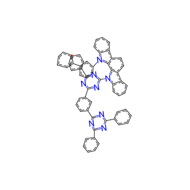 c1ccc(-c2cccc(-n3c4ccccc4c4ccc5c6ccccc6n(-c6nc(-c7ccccc7)nc(-c7cccc(-c8nc(-c9ccccc9)nc(-c9ccccc9)n8)c7)n6)c5c43)c2)cc1